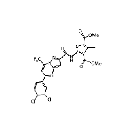 COC(=O)c1sc(NC(=O)c2cc3nc(-c4ccc(Cl)c(Cl)c4)cc(C(F)(F)F)n3n2)c(C(=O)OC)c1C